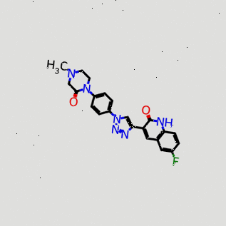 CN1CCN(c2ccc(-n3cc(-c4cc5cc(F)ccc5[nH]c4=O)nn3)cc2)C(=O)C1